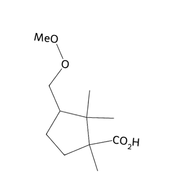 COOCC1CCC(C)(C(=O)O)C1(C)C